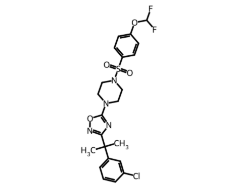 CC(C)(c1cccc(Cl)c1)c1noc(N2CCN(S(=O)(=O)c3ccc(OC(F)F)cc3)CC2)n1